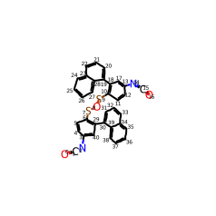 O=C=Nc1ccc(SOSc2ccc(N=C=O)cc2-c2cccc3ccccc23)c(-c2cccc3ccccc23)c1